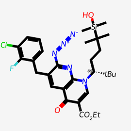 CCOC(=O)c1cn([C@H](CCC(C)(C)[Si](C)(C)O)C(C)(C)C)c2nc(N=[N+]=[N-])c(Cc3cccc(Cl)c3F)cc2c1=O